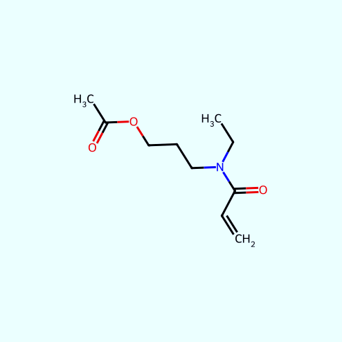 C=CC(=O)N(CC)CCCOC(C)=O